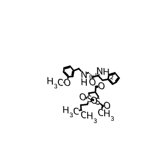 COc1cccc(CNC[C@@H](OC(=O)C(CSC(C)=O)CS(=O)(=O)CCC(C)C)[C@@H](N)Cc2ccccc2)c1